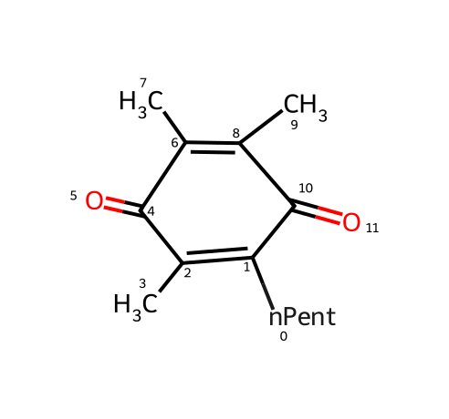 CCCCCC1=C(C)C(=O)C(C)=C(C)C1=O